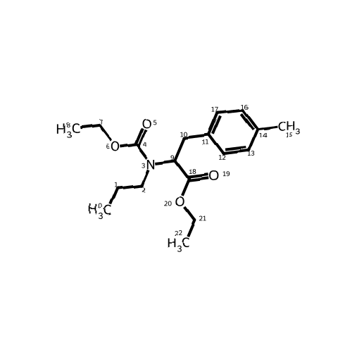 CCCN(C(=O)OCC)C(Cc1ccc(C)cc1)C(=O)OCC